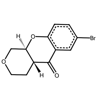 O=C1c2cc(Br)ccc2O[C@@H]2COCC[C@@H]12